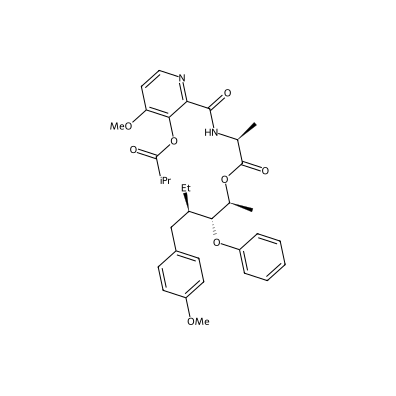 CC[C@H](Cc1ccc(OC)cc1)[C@@H](Oc1ccccc1)[C@H](C)OC(=O)[C@H](C)NC(=O)c1nccc(OC)c1OC(=O)C(C)C